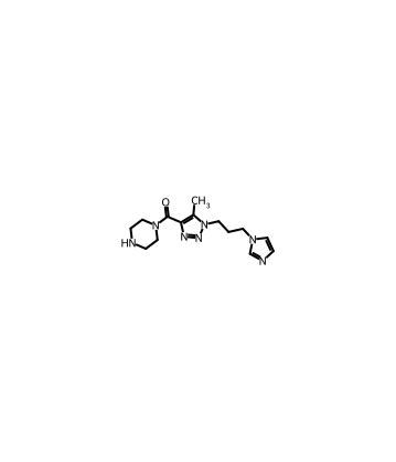 Cc1c(C(=O)N2CCNCC2)nnn1CCCn1ccnc1